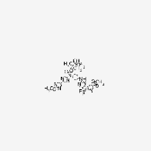 COc1ncc(-c2cnc(N(C(=O)OCC(C)(C)N(C)C)[C@H]3CC[C@H](Nc4ncc(C(F)(F)F)c(-c5cncc(S(C)(=O)=O)c5)n4)CC3)cn2)cn1